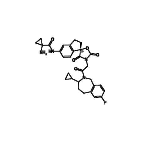 NC1(C(=O)Nc2ccc3c(c2)CC[C@]32OC(=O)N(CC(=O)N3Cc4ccc(F)cc4CCC3C3CC3)C2=O)CC1